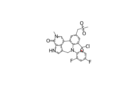 Cn1cc2c3c(c[nH]c3c1=O)CN(c1ccc(F)cc1F)c1c(C(=O)Cl)cc(CS(C)(=O)=O)cc1-2